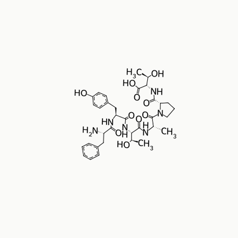 C[C@H](NC(=O)[C@@H](NC(=O)[C@H](Cc1ccc(O)cc1)NC(=O)[C@@H](N)Cc1ccccc1)[C@@H](C)O)C(=O)N1CCC[C@H]1C(=O)N[C@H](C(=O)O)[C@@H](C)O